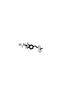 CC(=O)OCCc1ccc2nc(N)sc2c1